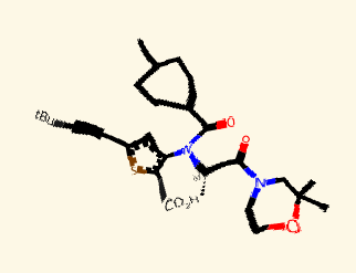 CC1CCC(C(=O)N(c2cc(C#CC(C)(C)C)sc2C(=O)O)[C@@H](C)C(=O)N2CCOC(C)(C)C2)CC1